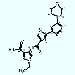 CCn1cc(NC(=O)c2coc(-c3ccnc(N4CCOCC4)c3)n2)c(C(N)=O)n1